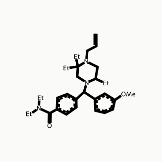 C=CCN1CC(CC)N(C(c2ccc(C(=O)N(CC)CC)cc2)c2cccc(OC)c2)CC1(CC)CC